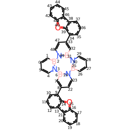 C1=CB2N(C=C1)B1C=C(c3cccc4c3oc3ccccc34)C=CN1B1C=CC=CN1B1C=C(c3cccc4c3oc3ccccc34)C=CN21